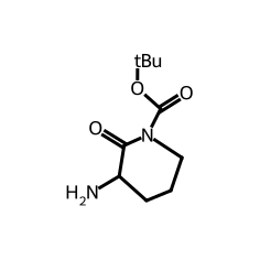 CC(C)(C)OC(=O)N1CCCC(N)C1=O